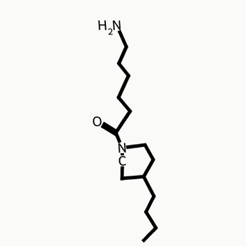 CCCCC1CCN(C(=O)CCCCCN)CC1